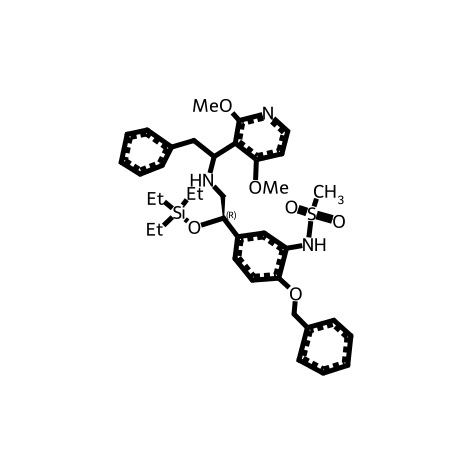 CC[Si](CC)(CC)O[C@@H](CNC(Cc1ccccc1)c1c(OC)ccnc1OC)c1ccc(OCc2ccccc2)c(NS(C)(=O)=O)c1